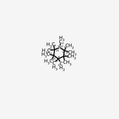 CN1C(C)(C)C(C)(C)C(C)(C)C(C)(C)C1(C)C